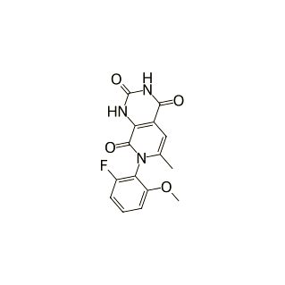 COc1cccc(F)c1-n1c(C)cc2c(=O)[nH]c(=O)[nH]c2c1=O